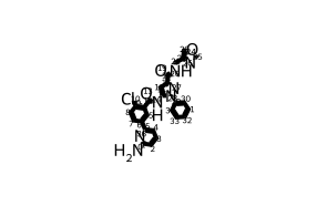 Nc1cccc(-c2ccc(Cl)c(C(=O)Nc3cc(C(=O)NCc4cocn4)nn3-c3ccccc3)c2)n1